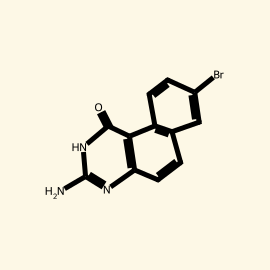 Nc1nc2ccc3cc(Br)ccc3c2c(=O)[nH]1